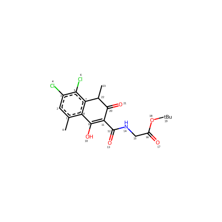 Cc1cc(Cl)c(Cl)c2c1C(O)=C(C(=O)NCC(=O)OC(C)(C)C)C(=O)C2C